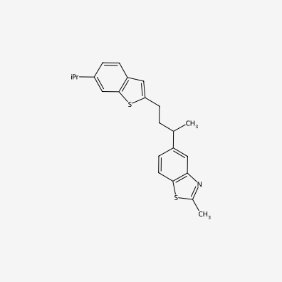 Cc1nc2cc(C(C)CCc3cc4ccc(C(C)C)cc4s3)ccc2s1